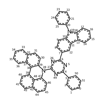 c1ccc(-c2nc(-c3ccc4c(c3)c3ccccc3n4-c3ccccc3)nc(N3c4ccc5ccccc5c4-c4cccc5cccc3c45)n2)cc1